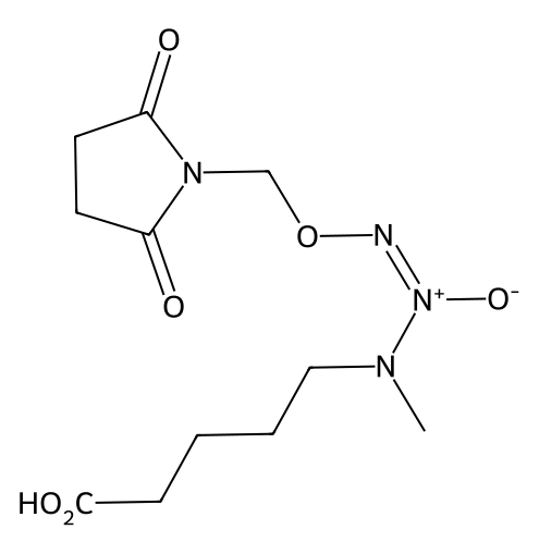 CN(CCCCC(=O)O)/[N+]([O-])=N\OCN1C(=O)CCC1=O